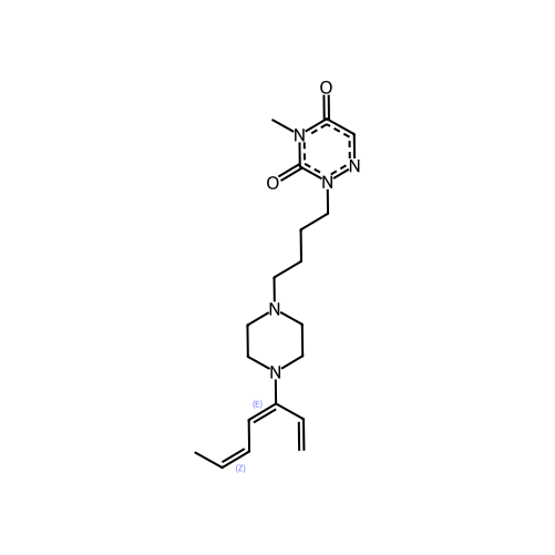 C=C/C(=C\C=C/C)N1CCN(CCCCn2ncc(=O)n(C)c2=O)CC1